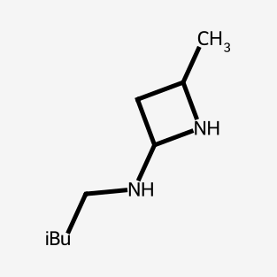 CCC(C)CNC1CC(C)N1